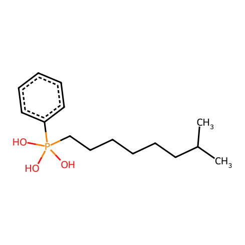 CC(C)CCCCCCP(O)(O)(O)c1ccccc1